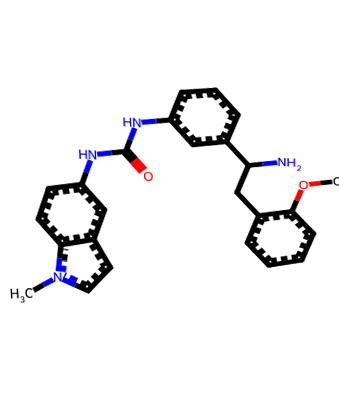 COc1ccccc1CC(N)c1cccc(NC(=O)Nc2ccc3c(ccn3C)c2)c1